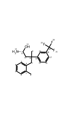 Cc1ccccc1CC(C)(C[C@H](N)O)c1cccc(C(F)(F)F)c1